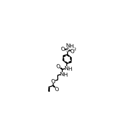 C=CC(=O)OCCNC(=O)Nc1ccc(S(N)(=O)=O)cc1